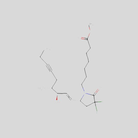 CCC#CC[C@@H](C)[C@H](O)C=C[C@H]1CC(F)(F)C(=O)N1CCCCCCC(=O)OC